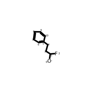 [O]C(F)CCc1ccccc1